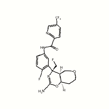 NC1=N[C@](CF)(c2cc(NC(=O)c3ccc(C(F)(F)F)cn3)ccc2F)[C@H]2COCC[C@H]2O1